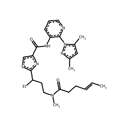 C/C=C/CCC(=O)N(C)CCC(CC)c1nc(C(=O)Nc2cccnc2-n2nc(C)cc2C)cs1